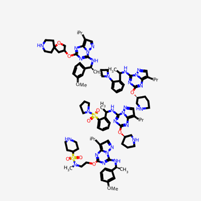 CC(C)c1cnn2c(NC(C)c3ccccc3N3CCC3)nc(O[C@@H]3CCCNC3)nc12.CC(C)c1cnn2c(NC(C)c3ccccc3S(=O)(=O)N3CCCC3)nc(O[C@@H]3CCCNC3)nc12.COc1cccc([C@H](C)Nc2nc(OC3COC4(CCNCC4)C3)nc3c(C(C)C)cnn23)c1.COc1cccc([C@H](C)Nc2nc(OCCN(C)S(=O)(=O)C3CCNCC3)nc3c(C(C)C)cnn23)c1